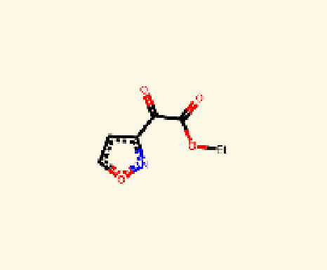 CCOC(=O)C(=O)c1ccon1